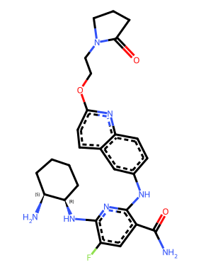 NC(=O)c1cc(F)c(N[C@@H]2CCCC[C@@H]2N)nc1Nc1ccc2nc(OCCN3CCCC3=O)ccc2c1